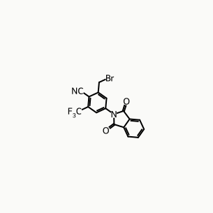 N#Cc1c(CBr)cc(N2C(=O)c3ccccc3C2=O)cc1C(F)(F)F